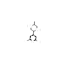 CC1CNC(c2cc(Cl)nc(Cl)c2)CN1